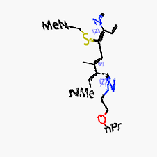 C=C/C(N=C)=C(\C=C(/C)C(=CNC)/C=N\CCOCCC)SCNC